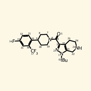 CC(C)(C)n1nc(C(=O)N2CCC(c3ccc(F)cc3C(F)(F)F)CC2)c2c1CNCC2